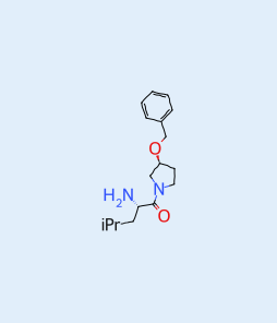 CC(C)C[C@H](N)C(=O)N1CC[C@H](OCc2ccccc2)C1